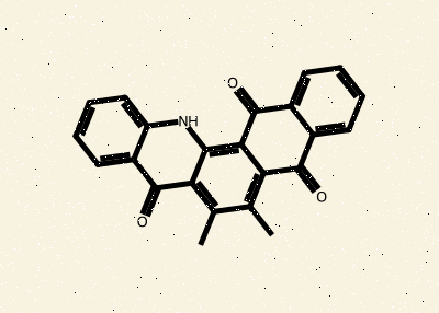 Cc1c2c(c3[nH]c4ccccc4c(=O)c3c1C)C(=O)c1ccccc1C2=O